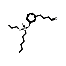 CCCCCCP(=O)(OCCC)Oc1cccc(CCCC=O)c1